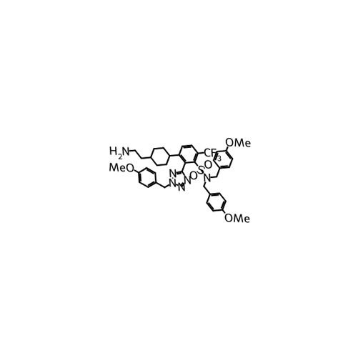 COc1ccc(CN(Cc2ccc(OC)cc2)S(=O)(=O)c2c(C(F)(F)F)ccc(C3CCC(CCN)CC3)c2-c2nnn(Cc3ccc(OC)cc3)n2)cc1